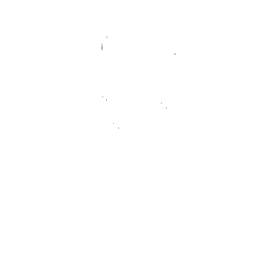 C=CCSc1nnc(C(C)C)c(O)n1